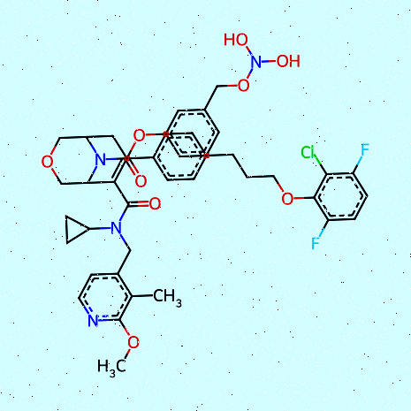 COc1nccc(CN(C(=O)C2=C(c3ccc(CCCOc4c(F)ccc(F)c4Cl)cc3)CC3COCC2N3C(=O)Oc2cccc(CON(O)O)c2)C2CC2)c1C